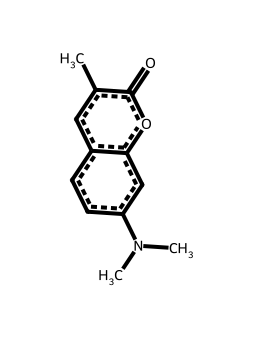 Cc1cc2ccc(N(C)C)cc2oc1=O